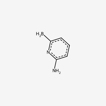 Bc1cccc(N)n1